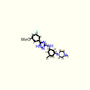 COc1cc(F)cc(-c2nc(Nc3cc(C)cc(N4CCN(C)CC4)c3)n[nH]2)c1